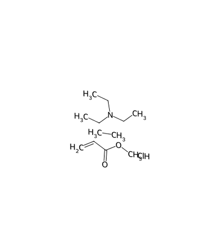 C=CC(=O)OC.CC.CCN(CC)CC.Cl